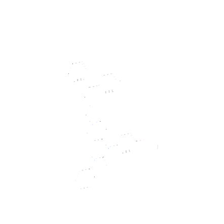 COc1ccc(N(C(=O)NC2CCCCC2)C2CCN(CCCC(c3ccc(F)cc3)c3ccc(F)cc3)CC2)cc1